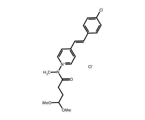 COC(CCC(=O)N(C)[n+]1ccc(C=Cc2ccc(Cl)cc2)cc1)OC.[Cl-]